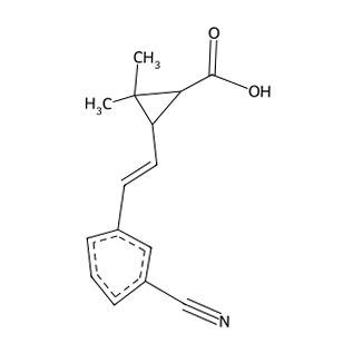 CC1(C)C(C=Cc2cccc(C#N)c2)C1C(=O)O